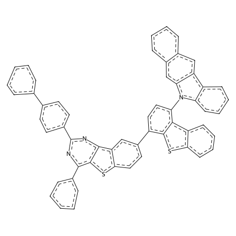 c1ccc(-c2ccc(-c3nc(-c4ccccc4)c4sc5ccc(-c6ccc(-n7c8ccccc8c8cc9ccccc9cc87)c7c6sc6ccccc67)cc5c4n3)cc2)cc1